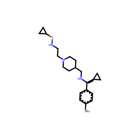 CC(C)(C)c1ccc(C(NCC2CCN(CCNSC3CC3)CC2)=C2CC2)cc1